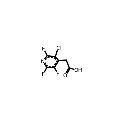 O=C(O)Cc1c(F)c(F)nc(F)c1Cl